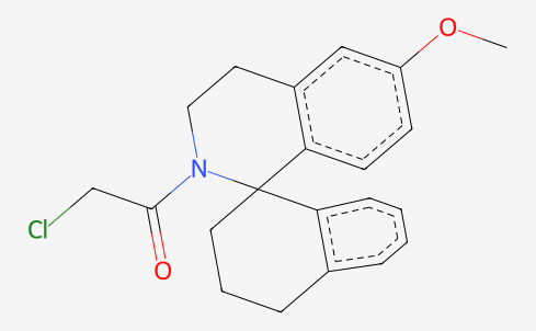 COc1ccc2c(c1)CCN(C(=O)CCl)C21CCCc2ccccc21